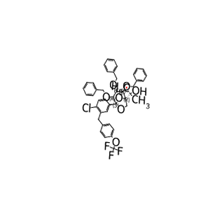 CC(C)(O)[C@]12CO[C@@](c3ccc(Cl)c(Cc4ccc(OC(F)(F)F)cc4)c3)(O1)[C@H](OCc1ccccc1)[C@@H](OCc1ccccc1)[C@H]2OCc1ccccc1